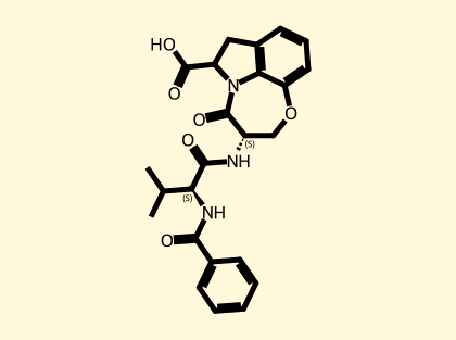 CC(C)[C@H](NC(=O)c1ccccc1)C(=O)N[C@H]1COc2cccc3c2N(C1=O)C(C(=O)O)C3